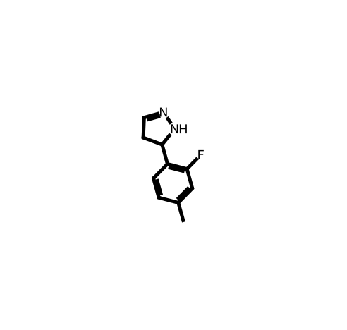 Cc1ccc(C2CC=NN2)c(F)c1